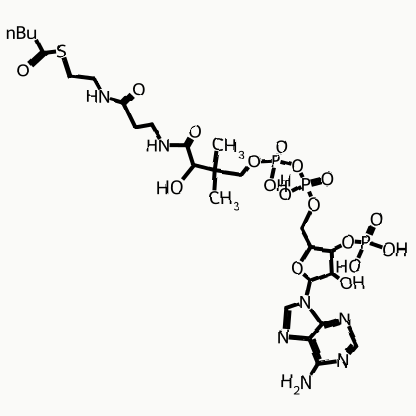 CCCCC(=O)SCCNC(=O)CCNC(=O)C(O)C(C)(C)COP(=O)(O)OP(=O)(O)OCC1OC(n2cnc3c(N)ncnc32)C(O)C1OP(=O)(O)O